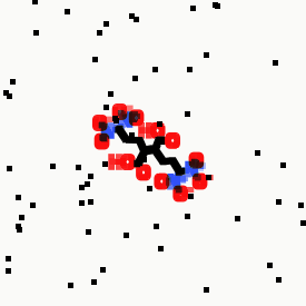 O=C(O)C(CCC([N+](=O)[O-])[N+](=O)[O-])=C(CCC([N+](=O)[O-])[N+](=O)[O-])C(=O)O